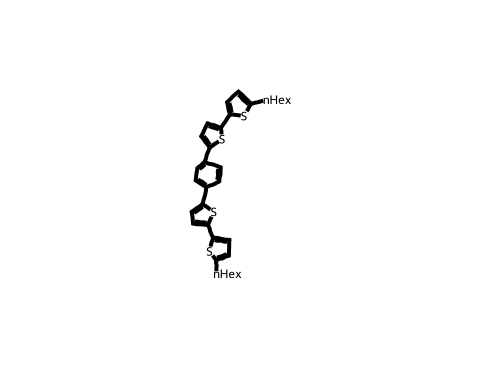 CCCCCCc1ccc(-c2ccc(-c3ccc(-c4ccc(-c5ccc(CCCCCC)s5)s4)cc3)s2)s1